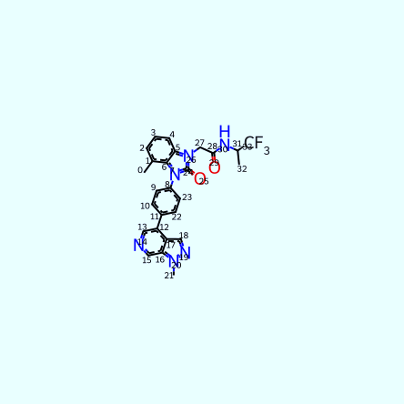 Cc1cccc2c1n(-c1ccc(-c3cncc4c3cnn4C)cc1)c(=O)n2CC(=O)NC(C)C(F)(F)F